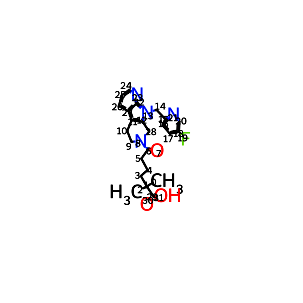 CC(C)(CCCC(=O)N1CCc2c(n(Cc3ccc(F)cn3)c3ncccc23)C1)C(=O)O